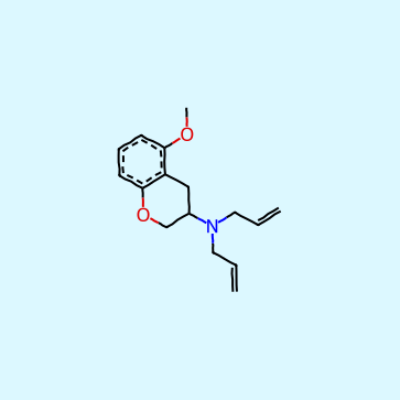 C=CCN(CC=C)C1COc2cccc(OC)c2C1